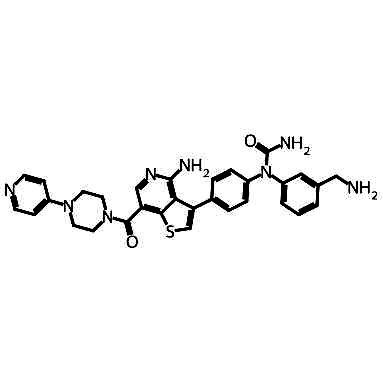 NCc1cccc(N(C(N)=O)c2ccc(-c3csc4c(C(=O)N5CCN(c6ccncc6)CC5)cnc(N)c34)cc2)c1